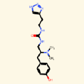 CN(C)C(CNC(=O)NCCc1c[nH]nn1)Cc1ccc(O)cc1